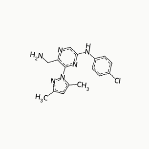 Cc1cc(C)n(-c2nc(Nc3ccc(Cl)cc3)cnc2CN)n1